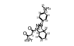 CCCC(=O)CC(=O)N(N=Nc1ccc(N(C)C)cc1)C1C=CC=CC1(C)CC